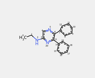 CCNc1cnc(-c2ccccc2)c(-c2ccccc2)n1